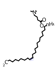 CCCCCCCC(CCCCCCCCCC/C=C\CCCCCCCC(=O)O)OC(=O)CCCN(C)C